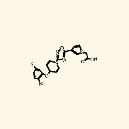 O=C(O)Cn1ccc(-c2nc(N3CCC(Oc4cc(F)ccc4Br)CC3)no2)c1